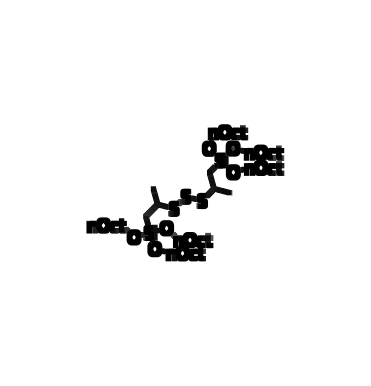 CCCCCCCCO[Si](CC(C)SSSC(C)C[Si](OCCCCCCCC)(OCCCCCCCC)OCCCCCCCC)(OCCCCCCCC)OCCCCCCCC